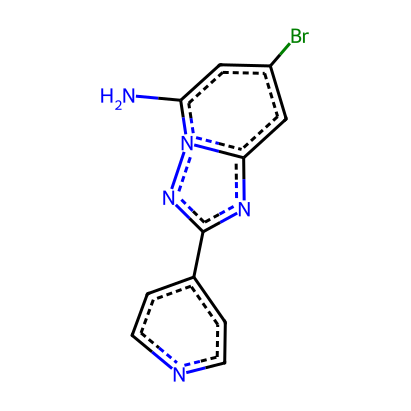 Nc1cc(Br)cc2nc(-c3ccncc3)nn12